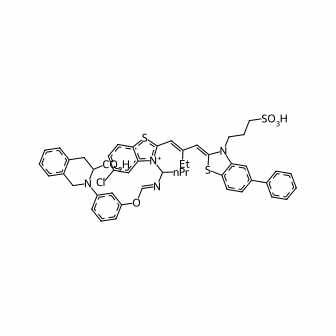 CCCC(/N=C/Oc1cccc(N2Cc3ccccc3CC2C(=O)O)c1)[n+]1c(/C=C(/C=C2\Sc3ccc(-c4ccccc4)cc3N2CCCS(=O)(=O)O)CC)sc2ccc(Cl)cc21